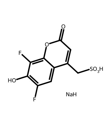 O=c1cc(CS(=O)(=O)O)c2cc(F)c(O)c(F)c2o1.[NaH]